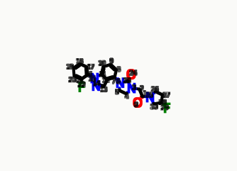 O=C(CN1CCN(c2cccc3c2cnn3-c2ccccc2F)C1=O)N1CC[C@@H](F)C1